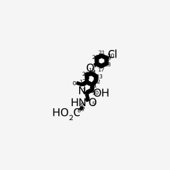 Cc1nc(C(=O)NCC(=O)O)c(O)c2ccc(Oc3ccc(Cl)cc3)cc12